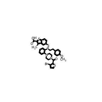 COc1ccc(CCN(Sc2ccc3sc(C(=O)O)c(C)c3c2)c2ccccc2N2CCN(C(=O)c3sccc3Br)CC2)cc1